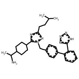 CC(C)CCc1nc(C2CCC(C(C)N)CC2)n(Cc2ccc(-c3ccccc3-c3nnn[nH]3)cc2)n1